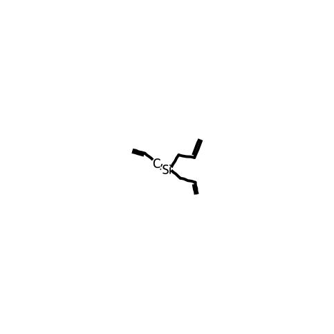 C=CC[Si](CC=C)CC=C